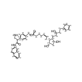 NCC(C(=O)Nc1ccc2cnccc2c1)c1ccc(COC(=O)CCC/C=C\C[C@@H]2[C@@H](CCC(O)CCc3ccccc3)[C@H](O)C[C@@H]2O)cc1